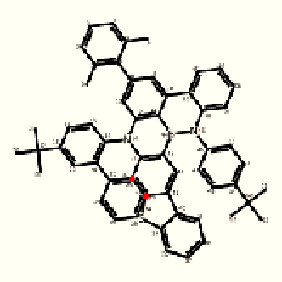 Cc1cccc(C)c1-c1cc2c3c(c1)N(c1ccc(C(C)(C)C)cc1-c1ccccc1)c1cc4sc5ccccc5c4cc1B3N(c1ccc(C(C)(C)C)cc1)c1ccccc1-2